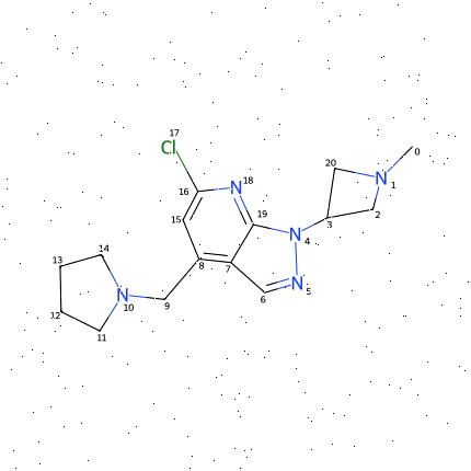 CN1CC(n2ncc3c(CN4CCCC4)cc(Cl)nc32)C1